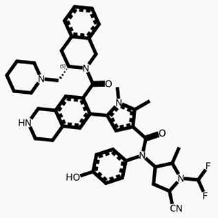 Cc1c(C(=O)N(c2ccc(O)cc2)C2CC(C#N)N(C(F)F)C2C)cc(-c2cc3c(cc2C(=O)N2Cc4ccccc4C[C@H]2CN2CCCCC2)CNCC3)n1C